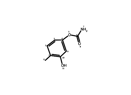 Cc1ccc(OC(N)=O)cc1O